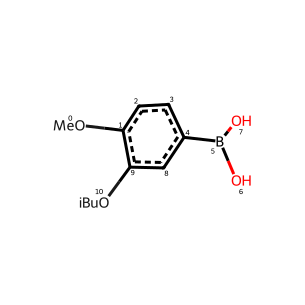 COc1ccc(B(O)O)cc1OCC(C)C